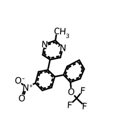 Cc1ncc(-c2cc([N+](=O)[O-])ccc2-c2ccccc2OC(F)(F)F)cn1